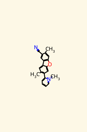 Cc1cc2oc3cc(-c4cccc[n+]4C)c(C)cc3c2cc1C#N